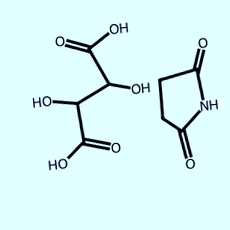 O=C(O)C(O)C(O)C(=O)O.O=C1CCC(=O)N1